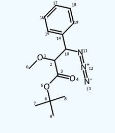 COC(C(=O)OC(C)(C)C)C(N=[N+]=[N-])c1ccccc1